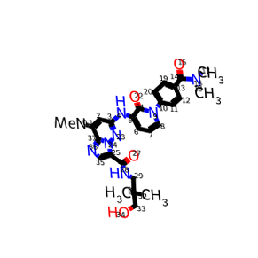 CNc1cc(Nc2cccn(-c3ccc(C(=O)N(C)C)cc3)c2=O)nn2c(C(=O)NCC(C)(C)CO)cnc12